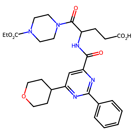 CCOC(=O)N1CCN(C(=O)C(CCC(=O)O)NC(=O)c2cc(C3CCOCC3)nc(-c3ccccc3)n2)CC1